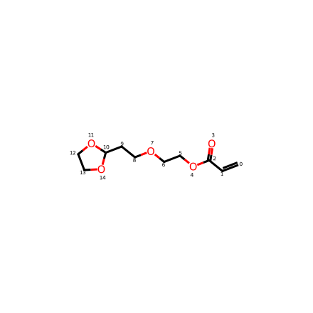 C=CC(=O)OCCOCCC1OCCO1